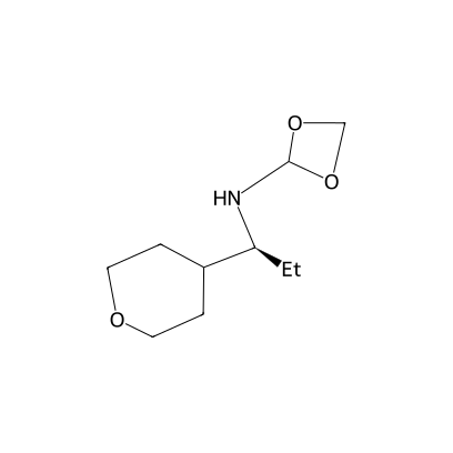 CC[C@H](NC1OCO1)C1CCOCC1